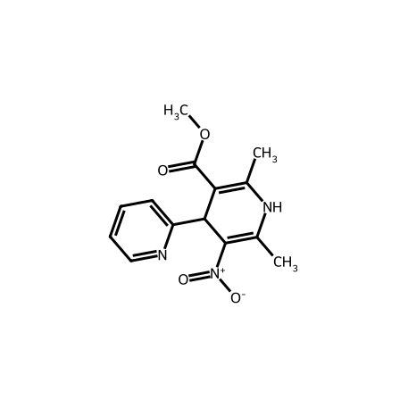 COC(=O)C1=C(C)NC(C)=C([N+](=O)[O-])C1c1ccccn1